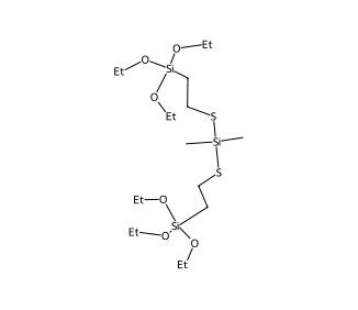 CCO[Si](CCS[Si](C)(C)SCC[Si](OCC)(OCC)OCC)(OCC)OCC